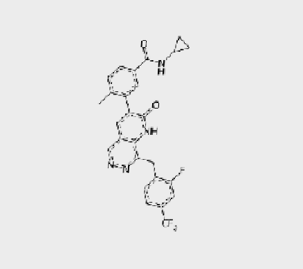 Cc1ccc(C(=O)NC2CC2)cc1-c1cc2cnnc(Cc3ccc(C(F)(F)F)cc3F)c2[nH]c1=O